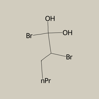 CCCCC(Br)C(O)(O)Br